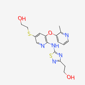 Cc1ncccc1Oc1cc(SCCO)cnc1Nc1nc(CCO)ns1